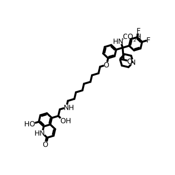 O=C(O)NC(c1cccc(OCCCCCCCCCNCC(O)c2ccc(O)c3[nH]c(=O)ccc23)c1)(c1ccc(F)c(F)c1)C1CN2CCC1CC2